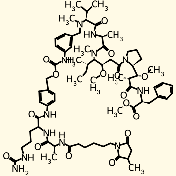 CC[C@H](C)[C@@H]([C@@H](CC(=O)N1CCC[C@H]1[C@H](OC)[C@@H](C)C(=O)N[C@@H](Cc1ccccc1)C(=O)OC)OC)N(C)C(=O)[C@H](C)NC(=O)[C@H](C(C)C)N(C)Cc1cccc(NC(=O)OCc2ccc(NC(=O)C(CCCNC(N)=O)NC(=O)[C@H](C)NC(=O)CCCCCN3C(=O)CC(C)C3=O)cc2)c1